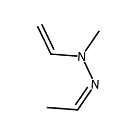 C=CN(C)/N=C\C